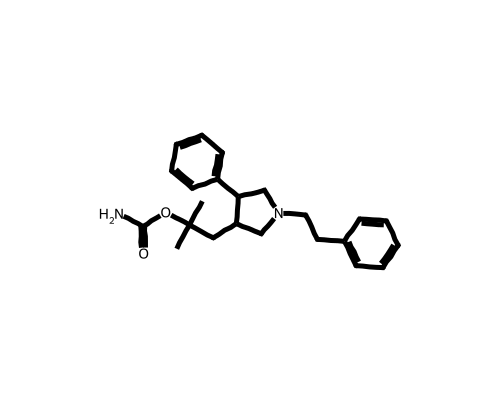 CC(C)(CC1CN(CCc2ccccc2)CC1c1ccccc1)OC(N)=O